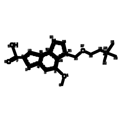 COc1cc2sc(C(=O)O)cc2c2ncn(COCC[Si](C)(C)C)c12